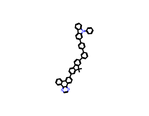 CC1(C)c2cc(-c3cccc(-c4ccc(-c5ccc6c7ccccc7n(-c7ccccc7)c6c5)cc4)c3)ccc2-c2ccc(-c3ccc4c(c3)c3ccccc3c3nccnc43)cc21